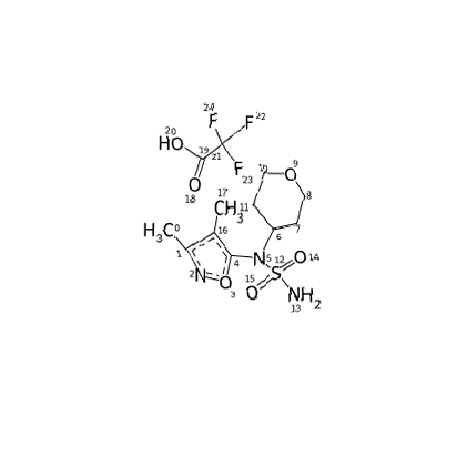 Cc1noc(N(C2CCOCC2)S(N)(=O)=O)c1C.O=C(O)C(F)(F)F